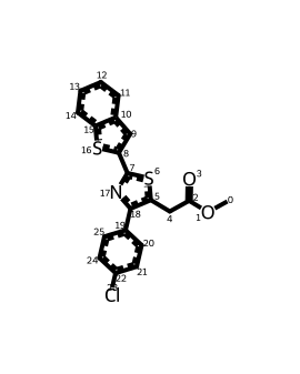 COC(=O)Cc1sc(-c2cc3ccccc3s2)nc1-c1ccc(Cl)cc1